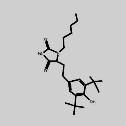 CCCCCCN1C(=O)NC(=O)C1CCc1cc(C(C)(C)C)c(O)c(C(C)(C)C)c1